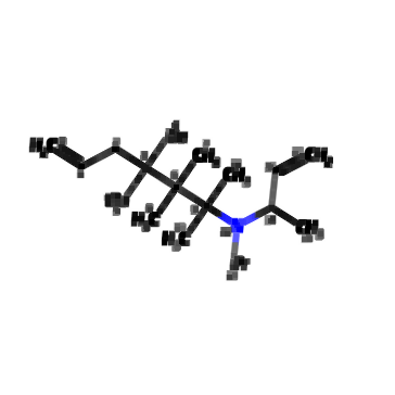 C=CCC(C(C)CC)(C(C)(C)C)C(C)(C)C(C)(C)N(C(C)C)C(C)C=C